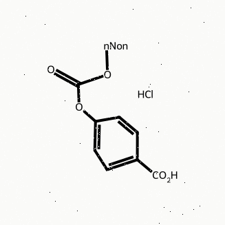 CCCCCCCCCOC(=O)Oc1ccc(C(=O)O)cc1.Cl